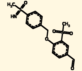 CS(=N)(=O)c1ccc(COc2ccc(C=O)cc2S(C)(=O)=O)cc1